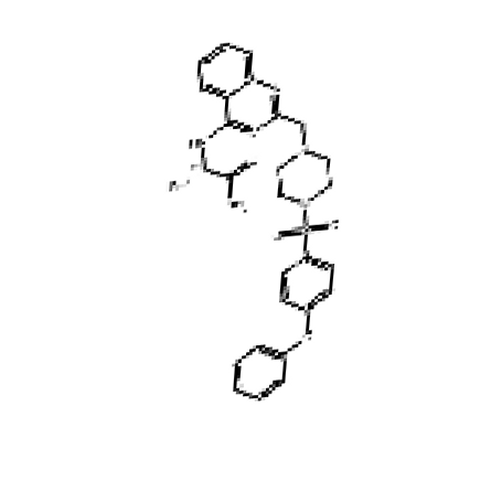 CC(C)[C@H](Nc1nc(CN2CCN(S(=O)(=O)c3ccc(Oc4ccccc4)cc3)CC2)nc2ccccc12)C(N)=O